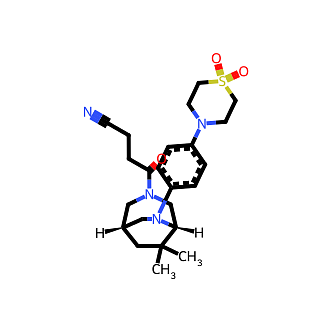 CC1(C)C[C@@H]2CN(C(=O)CCC#N)C[C@H]1N(c1ccc(N3CCS(=O)(=O)CC3)cc1)C2